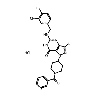 Cl.O=C(c1cccnc1)N1CCC(n2nc(Cl)c3nc(NCc4ccc(Cl)c(Cl)c4)[nH]c(=O)c32)CC1